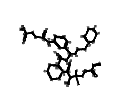 C=CC(=O)OCC(C)(C)C(O)C(=O)N1CCCC[C@H]1C(=O)O[C@H](CCCN1CCOCC1)c1cccc(NC(=O)CCC(=O)O)c1